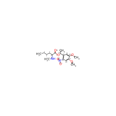 CCCCC(NC)C(=O)OC(C)c1cc(OC)c(OC)cc1[N+](=O)[O-]